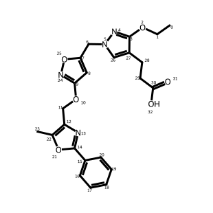 CCOc1nn(Cc2cc(OCc3nc(-c4ccccc4)oc3C)no2)cc1CCC(=O)O